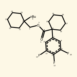 CCCCC1(COC(=O)C2(c3cc(F)c(F)c(F)c3)CCCCC2)CCCCC1